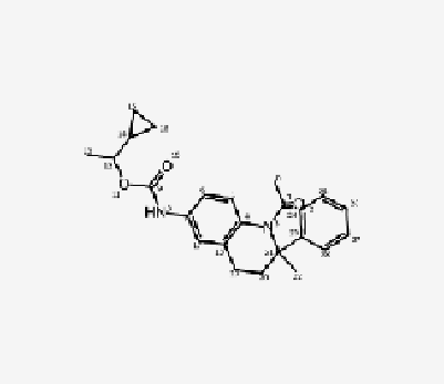 CC(=O)N1c2ccc(NC(=O)OC(C)C3CC3)cc2CCC1(C)c1ccccc1